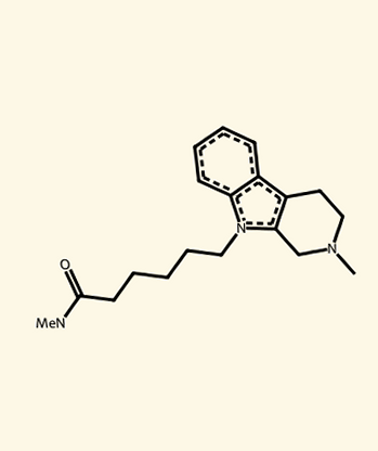 CNC(=O)CCCCCn1c2c(c3ccccc31)CCN(C)C2